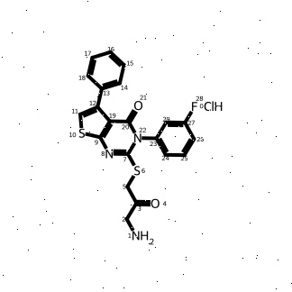 Cl.NCC(=O)CSc1nc2scc(-c3ccccc3)c2c(=O)n1-c1cccc(F)c1